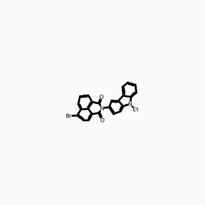 CCn1c2ccccc2c2cc(N3C(=O)c4cccc5c(Br)ccc(c45)C3=O)ccc21